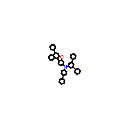 c1ccc(-c2ccc(N(c3cc(-c4ccccc4)cc(-c4ccccc4)c3)c3ccc4c(c3)oc3cc(-c5ccccc5)c5ccccc5c34)cc2)cc1